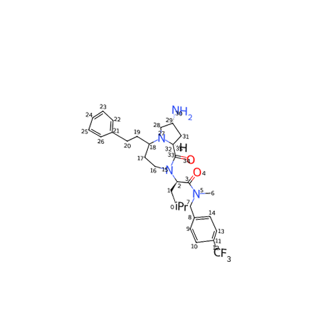 CC(C)C[C@H](C(=O)N(C)Cc1ccc(C(F)(F)F)cc1)N1CCC(CCc2ccccc2)N2C[C@H](N)C[C@H]2C1=O